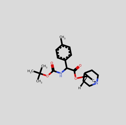 Cc1ccc(C(NC(=O)OC(C)(C)C)C(=O)O[C@H]2CN3CCC2CC3)cc1